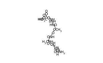 CC(CCC(=O)NCCNC(=S)Nc1ccc(-c2c3ccc(=O)cc-3oc3cc(O)ccc23)c(C(=O)O)c1)OCCOCCCNC(=O)CC[C@@H](C)NC(=O)c1ccc(NCc2cnc3nc(N)[nH]c(=O)c3n2)cc1